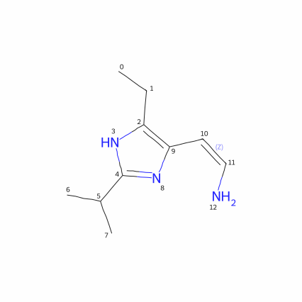 CCc1[nH]c(C(C)C)nc1/C=C\N